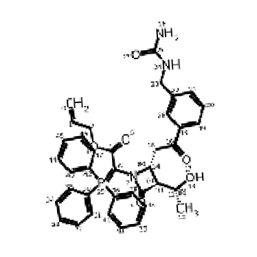 C=CCOC(=O)C(N1C(=O)[C@H]([C@@H](C)O)[C@H]1CC(=O)c1cccc(CNC(N)=O)c1)=P(c1ccccc1)(c1ccccc1)c1ccccc1